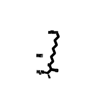 CCCCCCCCCCCCCCCCOC(=O)[C@H](C)N.Cl